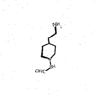 NCCC1CCN(BC=O)CC1